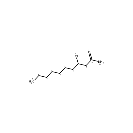 CCCCCCCC(O)CC(N)=O